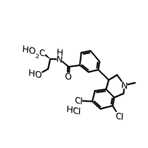 CN1Cc2c(Cl)cc(Cl)cc2C(c2cccc(C(=O)N[C@@H](CO)C(=O)O)c2)C1.Cl